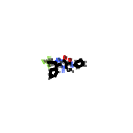 Cc1[nH]c2c(-c3ccccc3)c(C(F)(F)F)nn2c(=O)c1C(=O)Nc1ccccc1